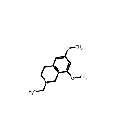 CCN1CCc2cc(OC)cc(OC)c2C1